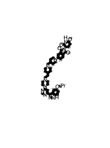 CC(C)Oc1ccc2[nH]nc(-c3cc(N4CCN(CCC5CCN(CC6CCN(c7ccc8c(c7)C(=O)N(C7CCC(=O)NC7=O)C8=O)CC6)CC5)CC4)ncn3)c2c1